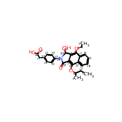 CCOc1c2c(c(OC(C)CC)c3ccccc13)C(=O)N(c1ccc(CC(=O)O)cc1)C2O